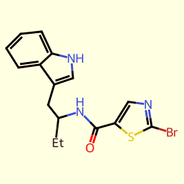 CCC(Cc1c[nH]c2ccccc12)NC(=O)c1cnc(Br)s1